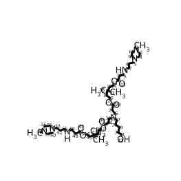 CN1CCN(CCCNCCC(=O)OCCC(C)(C)CCOC(=O)CCN(CCCCCO)CCC(=O)OCCC(C)(C)CCOC(=O)CCNCCCN2CCN(C)CC2)CC1